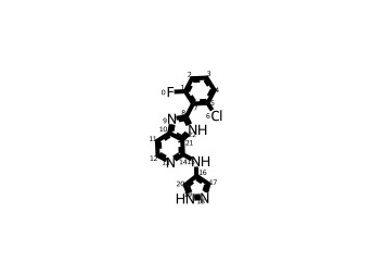 Fc1cccc(Cl)c1-c1nc2ccnc(Nc3cn[nH]c3)c2[nH]1